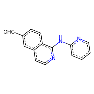 O=Cc1ccc2c(Nc3ccccn3)nccc2c1